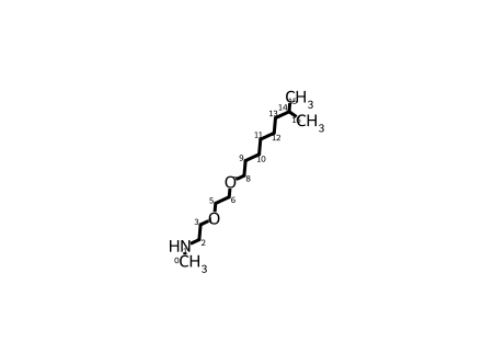 CNCCOCCOCCCCCCC(C)C